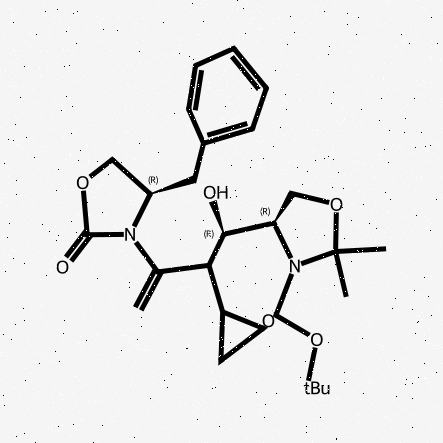 C=C(C(C1CC1)[C@@H](O)[C@H]1COC(C)(C)N1C(=O)OC(C)(C)C)N1C(=O)OC[C@H]1Cc1ccccc1